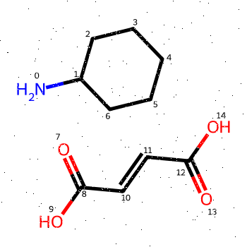 NC1CCCCC1.O=C(O)C=CC(=O)O